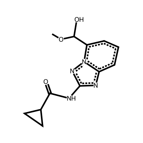 COC(O)c1cccc2nc(NC(=O)C3CC3)nn12